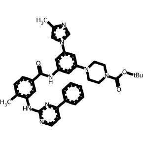 Cc1cn(-c2cc(NC(=O)c3ccc(C)c(Nc4nccc(-c5ccccc5)n4)c3)cc(N3CCN(C(=O)OC(C)(C)C)CC3)c2)cn1